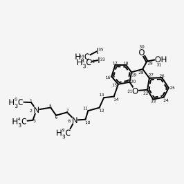 CCN(CC)CCCN(C)CCCCCc1cccc2c1Oc1ccccc1C2C(=O)O.CI.CI